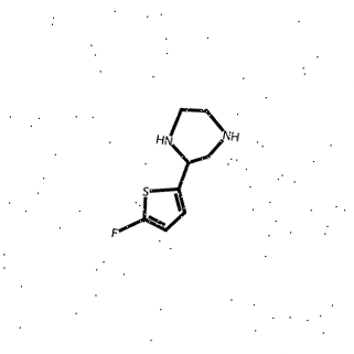 Fc1ccc(C2CNCCN2)s1